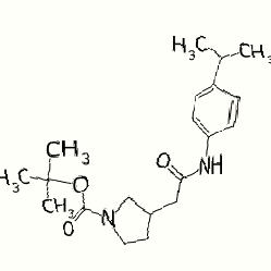 CC(C)c1ccc(NC(=O)CC2CCN(C(=O)OC(C)(C)C)C2)cc1